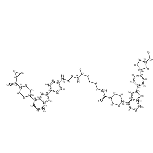 CC(CCCCNC(=O)N1CCN(c2ccnn3cc(-c4ccc([C@@H]5CCN(C(C)C)C5)cc4)cc23)CC1)NCCNc1cnc(-c2cc3c(N4CCN(C(=O)C5CC5)CC4)ccnn3c2)cn1